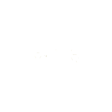 Cc1ccc(NCCC(C)N2CC3CN(C(=O)c4c(C)cc(=O)[nH]c4C)CC3C2)cc1Cl